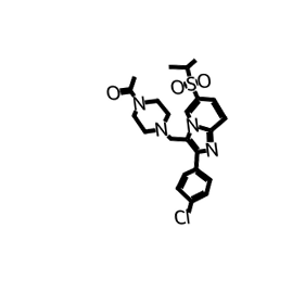 CC(=O)N1CCN(Cc2c(-c3ccc(Cl)cc3)nc3ccc(S(=O)(=O)C(C)C)cn23)CC1